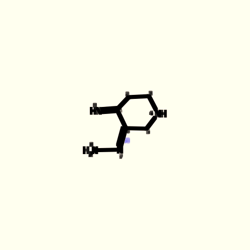 N=C1CCNC/C1=N/N